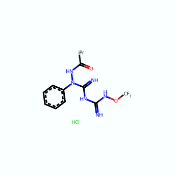 CC(C)C(=O)NN(C(=N)NC(=N)NOC(F)(F)F)c1ccccc1.Cl